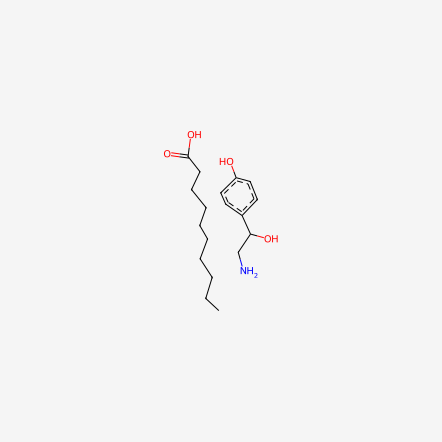 CCCCCCCCCC(=O)O.NCC(O)c1ccc(O)cc1